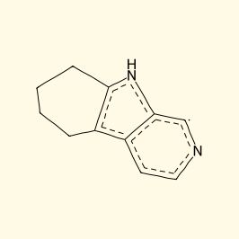 [c]1nccc2c3c([nH]c12)CCCC3